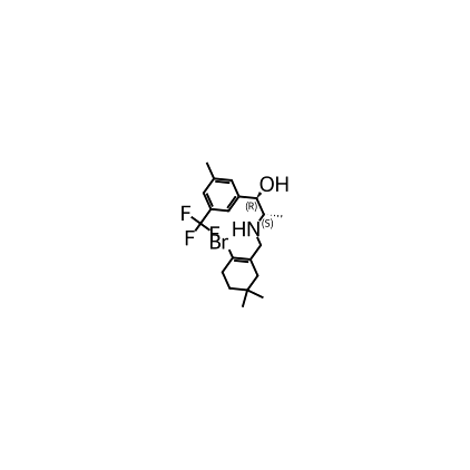 Cc1cc([C@@H](O)[C@H](C)NCC2=C(Br)CCC(C)(C)C2)cc(C(F)(F)F)c1